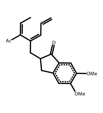 C=C/C=C(CC1Cc2cc(OC)c(OC)cc2C1=O)\C(=C/C)C(C)=O